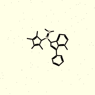 CC1=C(C)[CH]([Zr]([CH]2C=C(c3ccccc3)c3c(C)cccc32)=[Si](C)C)C(C)=C1C